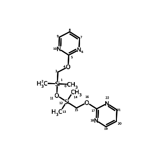 C[Si](C)(COc1ncccn1)O[Si](C)(C)COc1ncccn1